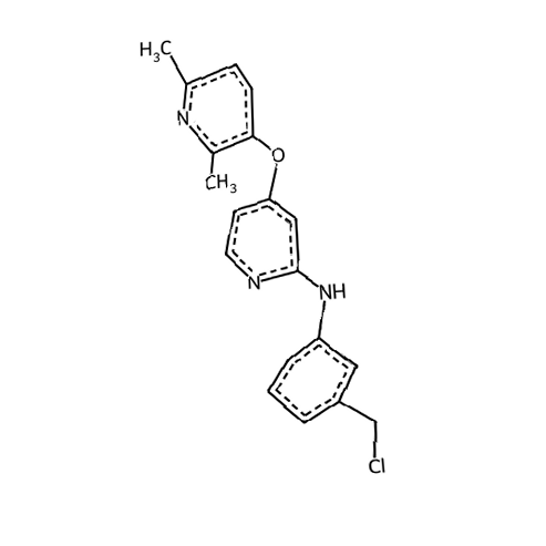 Cc1ccc(Oc2ccnc(Nc3cccc(CCl)c3)c2)c(C)n1